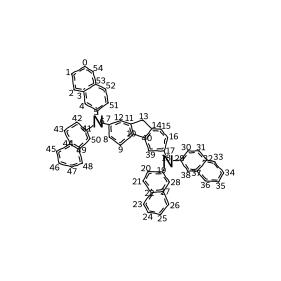 c1ccc2cc(N(c3ccc4c(c3)Cc3ccc(N(c5ccc6ccccc6c5)c5ccc6ccccc6c5)cc3-4)c3ccc4ccccc4c3)ccc2c1